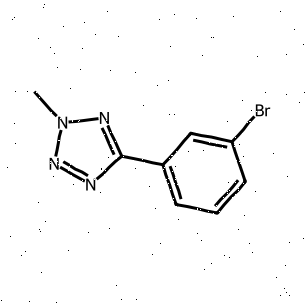 Cn1nnc(-c2cccc(Br)c2)n1